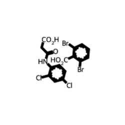 O=C(O)CC(=O)Nc1ccc(Cl)cc1Cl.O=C(O)c1c(Br)cccc1Br